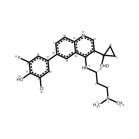 CN(C)CCCNc1c(C2(C=O)CC2)cnc2ccc(-c3cc(F)c(O)c(Cl)c3)cc12